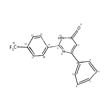 O=c1cc(-c2ccccc2)nc(-c2ccc(C(F)(F)F)cc2)[nH]1